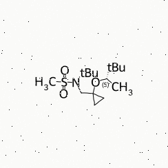 C[C@H](OC1(CN(C(C)(C)C)S(C)(=O)=O)CC1)C(C)(C)C